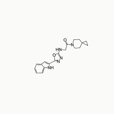 O=C(CNc1nnc(-c2cc3ccccc3[nH]2)o1)N1CCC2(CC1)CC2